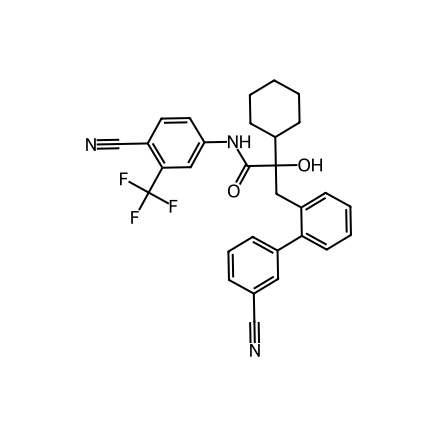 N#Cc1cccc(-c2ccccc2CC(O)(C(=O)Nc2ccc(C#N)c(C(F)(F)F)c2)C2CCCCC2)c1